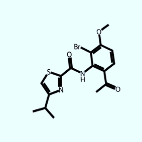 COc1ccc(C(C)=O)c(NC(=O)c2nc(C(C)C)cs2)c1Br